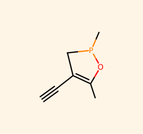 C#CC1=C(C)OP(C)C1